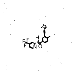 Cc1ccc(C(=O)Nc2cc(C(F)(F)F)ccn2)cc1C#C[Si](C)(C)C